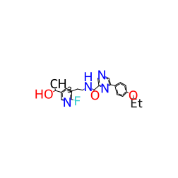 CCOc1ccc(-c2cncc(C(=O)NCCc3cc(C(C)O)cnc3F)n2)cc1